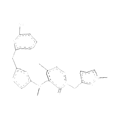 Cc1cnn(Cc2ccn(C)n2)c(=O)c1N(C)c1csc(Cc2cccc(N)n2)n1